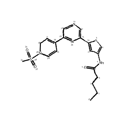 CCCCC(=O)Nc1csc(-c2cncc(C3=CCN(S(C)(=O)=O)C=C3)n2)c1